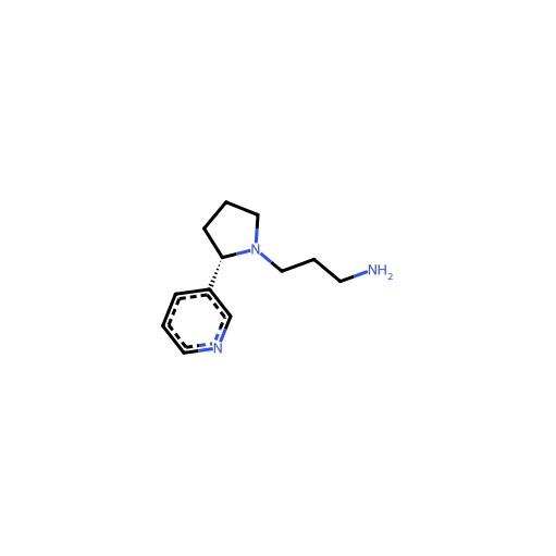 NCCCN1CCC[C@H]1c1cccnc1